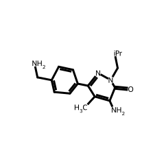 Cc1c(-c2ccc(CN)cc2)nn(CC(C)C)c(=O)c1N